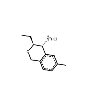 CC[C@@H]1OCc2ccc(C)cc2[C@H]1N.Cl